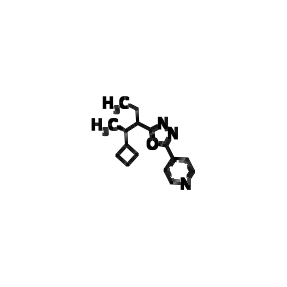 CCC(c1nnc(-c2ccncc2)o1)[C@H](C)C1CCC1